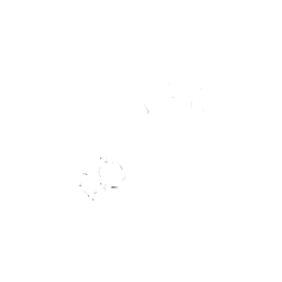 CC(C)(C)OC(=O)[C@H]1CC[C@H](c2cc(Cl)n3nccc3n2)CC1